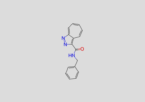 O=C(NCc1ccccc1)c1nnc2cccccc1-2